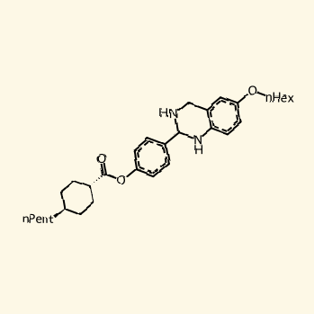 CCCCCCOc1ccc2c(c1)CNC(c1ccc(OC(=O)[C@H]3CC[C@H](CCCCC)CC3)cc1)N2